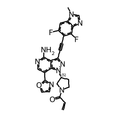 C=CC(=O)N1CC[C@H](n2nc(C#Cc3c(F)cc4c(ncn4C)c3F)c3c(N)ncc(-c4ncco4)c32)C1